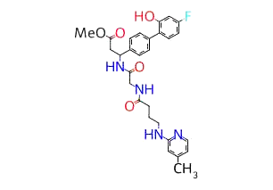 COC(=O)CC(NC(=O)CNC(=O)CCCNc1cc(C)ccn1)c1ccc(-c2ccc(F)cc2O)cc1